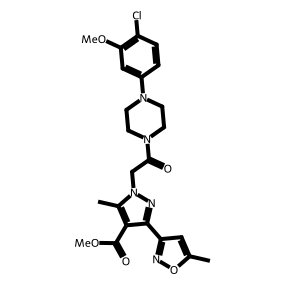 COC(=O)c1c(-c2cc(C)on2)nn(CC(=O)N2CCN(c3ccc(Cl)c(OC)c3)CC2)c1C